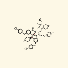 CN1CCN(CCCN(CCCN2CCN(C)CC2)C(=O)c2ccc(Sc3ccc(Cl)cc3)cc2SSc2cc(Sc3ccc(Cl)cc3)ccc2C(=O)N(CCCN2CCN(C)CC2)CCCN2CCN(C)CC2)CC1